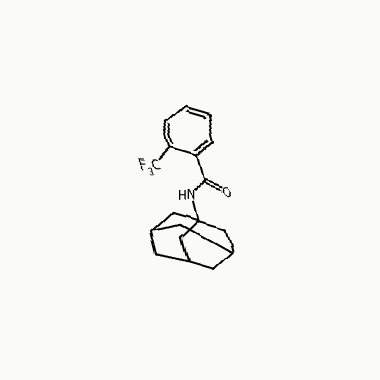 O=C(NC12CC3CC(CC(C3)C1)C2)c1ccccc1C(F)(F)F